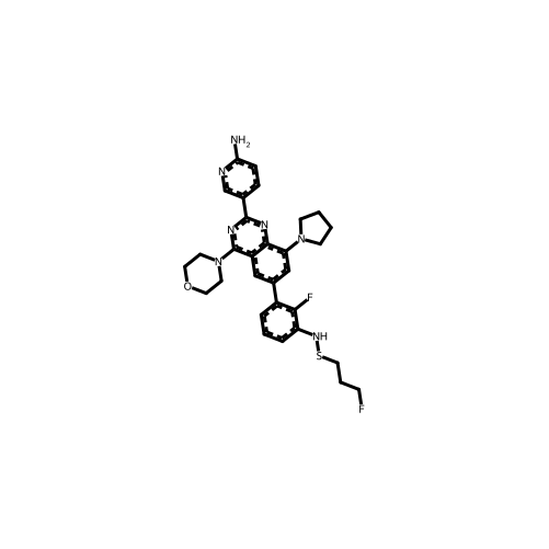 Nc1ccc(-c2nc(N3CCOCC3)c3cc(-c4cccc(NSCCCF)c4F)cc(N4CCCC4)c3n2)cn1